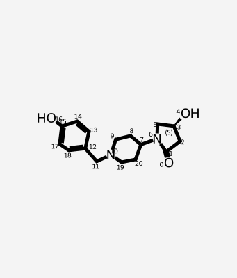 O=C1C[C@H](O)CN1C1CCN(Cc2ccc(O)cc2)CC1